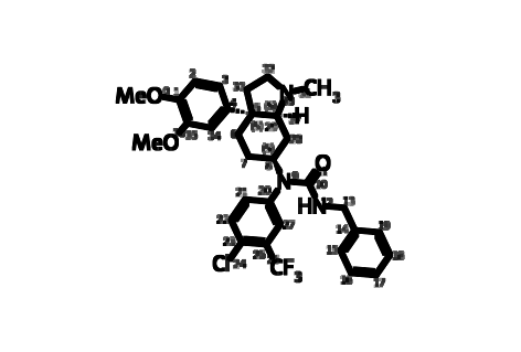 COc1ccc([C@@]23CC[C@H](N(C(=O)NCc4ccccc4)c4ccc(Cl)c(C(F)(F)F)c4)C[C@@H]2N(C)CC3)cc1OC